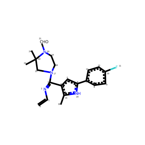 C=C/N=C(\c1cc(-c2ccc(F)cc2)[nH]c1C)N1CCN(C=O)C(C)(C)C1